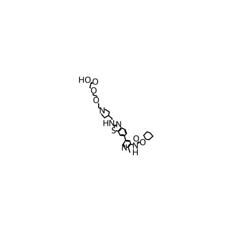 Cc1ncc(-c2ccc3nc(NCC4CCN(CCOCCOCC(=O)O)CC4)sc3c2)cc1NC(=O)OC1CCCCC1